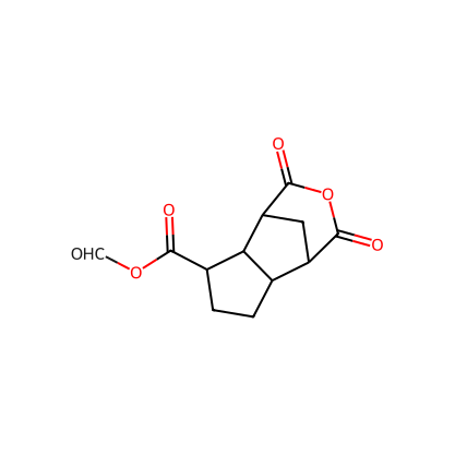 O=COC(=O)C1CCC2C3CC(C(=O)OC3=O)C12